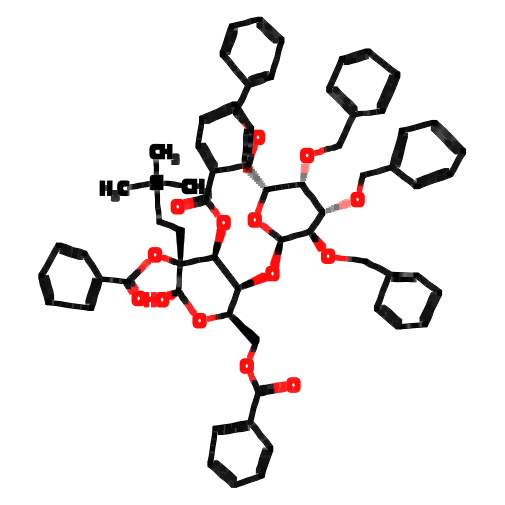 C[Si](C)(C)CC[C@]1(OC(=O)c2ccccc2)[C@H](O)O[C@H](COC(=O)c2ccccc2)[C@H](O[C@H]2O[C@H](COCc3ccccc3)[C@H](OCc3ccccc3)[C@H](OCc3ccccc3)[C@H]2OCc2ccccc2)[C@@H]1OC(=O)c1ccccc1